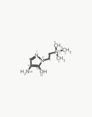 C[N+](C)(C)CCn1ncc(N)c1O